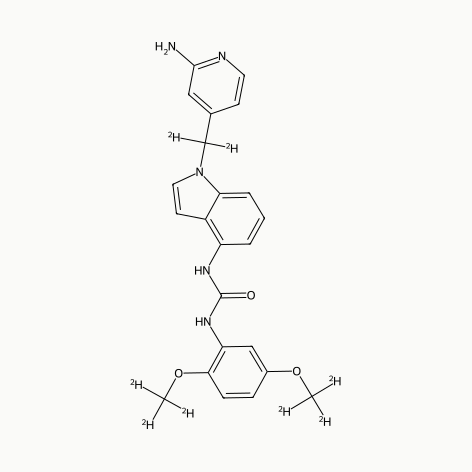 [2H]C([2H])([2H])Oc1ccc(OC([2H])([2H])[2H])c(NC(=O)Nc2cccc3c2ccn3C([2H])([2H])c2ccnc(N)c2)c1